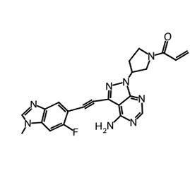 C=CC(=O)N1CCC(n2nc(C#Cc3cc4ncn(C)c4cc3F)c3c(N)ncnc32)C1